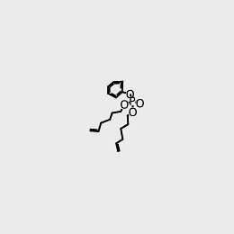 C=CCCCCOP(=O)(OCCCCC=C)Oc1ccccc1